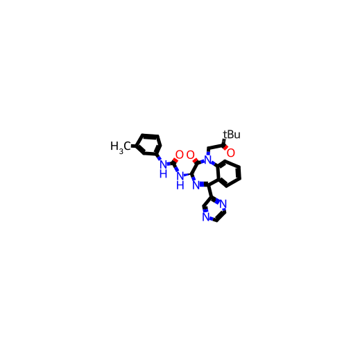 Cc1cccc(NC(=O)N[C@@H]2N=C(c3cnccn3)c3ccccc3N(CC(=O)C(C)(C)C)C2=O)c1